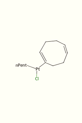 CCCC[CH2][Pt]([Cl])[C]1=CCCC=CCC1